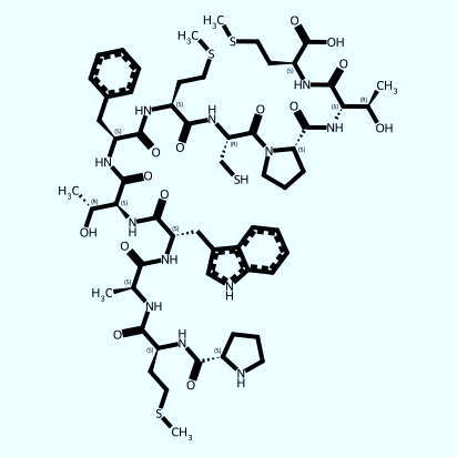 CSCC[C@H](NC(=O)[C@@H](NC(=O)[C@@H]1CCCN1C(=O)[C@H](CS)NC(=O)[C@H](CCSC)NC(=O)[C@H](Cc1ccccc1)NC(=O)[C@@H](NC(=O)[C@H](Cc1c[nH]c2ccccc12)NC(=O)[C@H](C)NC(=O)[C@H](CCSC)NC(=O)[C@@H]1CCCN1)[C@@H](C)O)[C@@H](C)O)C(=O)O